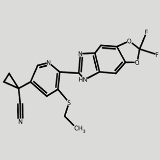 CCSc1cc(C2(C#N)CC2)cnc1-c1nc2cc3c(cc2[nH]1)OC(F)(F)O3